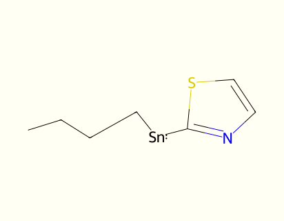 CCC[CH2][Sn][c]1nccs1